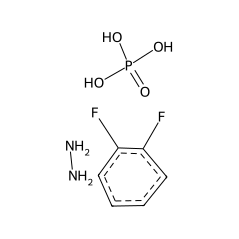 Fc1ccccc1F.NN.O=P(O)(O)O